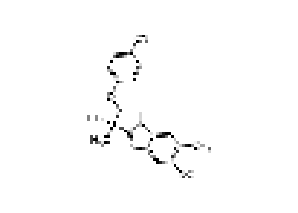 [C-]#[N+]c1cc2cc(C(C)(O)COc3ccc(C#N)cc3)[nH]c2cc1C